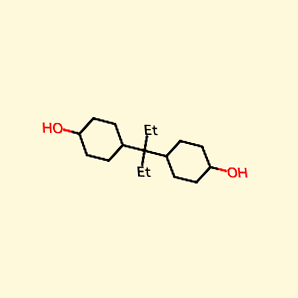 CCC(CC)(C1CCC(O)CC1)C1CCC(O)CC1